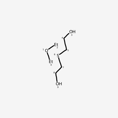 CCOCC.OCCSCCO